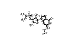 CC[C@H]1O[C@@H](n2cnc3c(=O)[nH]c(NCC(C)C)nc32)[C@@H](C)C1OP(=O)(Cl)N(C)C